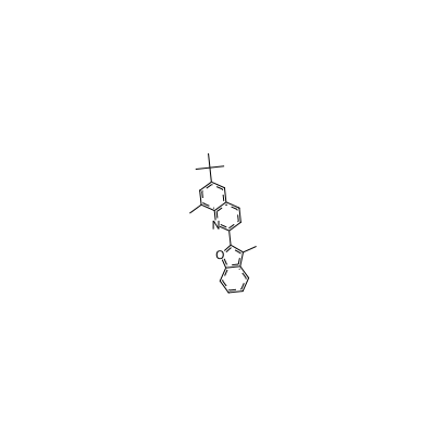 Cc1c(-c2ccc3cc(C(C)(C)C)cc(C)c3n2)oc2ccccc12